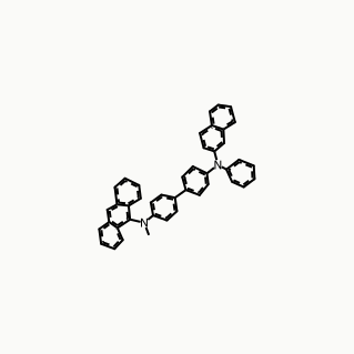 CN(c1ccc(-c2ccc(N(c3ccccc3)c3ccc4ccccc4c3)cc2)cc1)c1c2ccccc2cc2ccccc12